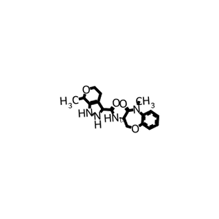 CC1OCCC2=C1NNC2C(=O)N[C@H]1COc2ccccc2N(C)C1=O